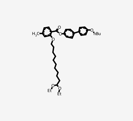 CCCCOc1ccc(-c2ccc(OC(=O)c3ccc(C)cc3OCCCCCCCCCCC(OCC)OCC)cc2)cc1